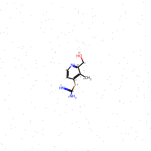 Cc1c(SC(=N)N)ccnc1CO